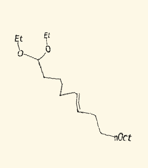 CCCCCCCCCCC=CCCCC(OCC)OCC